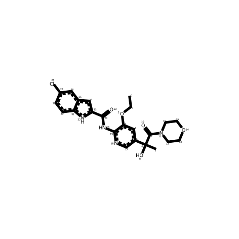 CCOc1cc(C(C)(O)C(=O)N2CCOCC2)cnc1NC(=O)c1cc2cc(Cl)ccc2[nH]1